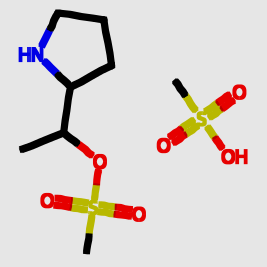 CC(OS(C)(=O)=O)C1CCCN1.CS(=O)(=O)O